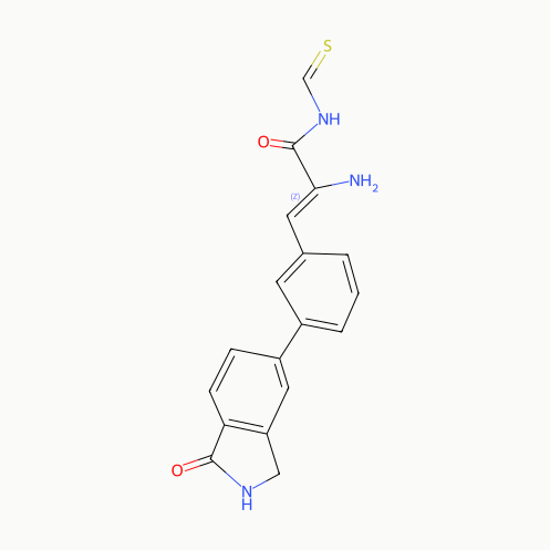 N/C(=C\c1cccc(-c2ccc3c(c2)CNC3=O)c1)C(=O)NC=S